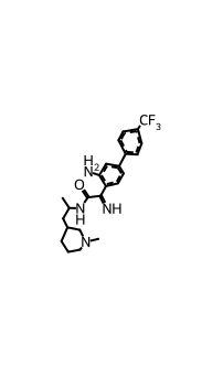 CC(CC1CCCN(C)C1)NC(=O)C(=N)c1ccc(-c2ccc(C(F)(F)F)cc2)cc1N